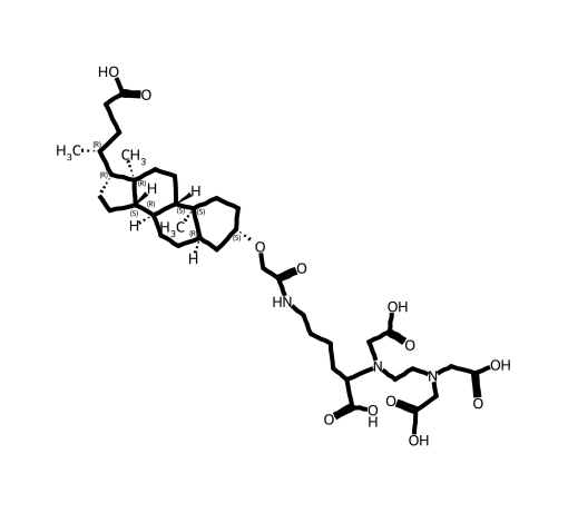 C[C@H](CCC(=O)O)[C@H]1CC[C@H]2[C@@H]3CC[C@@H]4C[C@@H](OCC(=O)NCCCCC(C(=O)O)N(CCN(CC(=O)O)CC(=O)O)CC(=O)O)CC[C@]4(C)[C@H]3CC[C@]12C